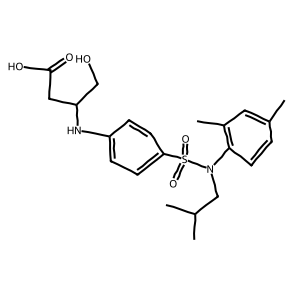 Cc1ccc(N(CC(C)C)S(=O)(=O)c2ccc(NC(CO)CC(=O)O)cc2)c(C)c1